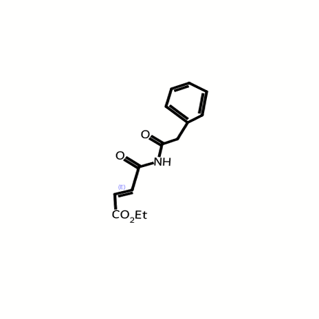 CCOC(=O)/C=C/C(=O)NC(=O)Cc1ccccc1